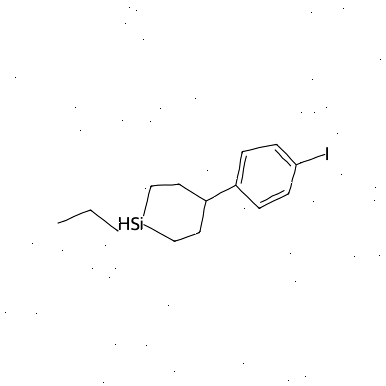 CCC[SiH]1CCC(c2ccc(I)cc2)CC1